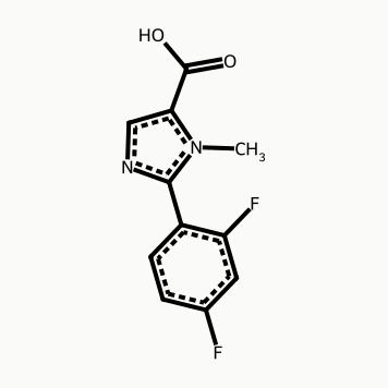 Cn1c(C(=O)O)cnc1-c1ccc(F)cc1F